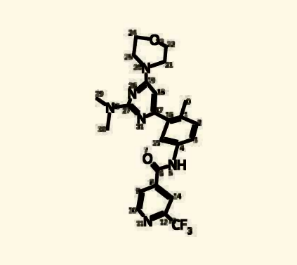 Cc1ccc(NC(=O)c2ccnc(C(F)(F)F)c2)cc1-c1cc(N2CCOCC2)nc(N(C)C)n1